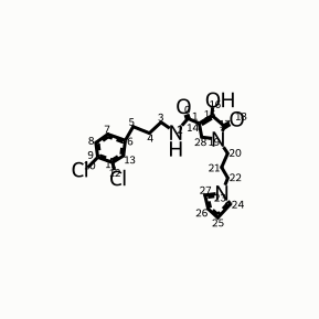 O=C(NCCCc1ccc(Cl)c(Cl)c1)C1=C(O)C(=O)N(CCCn2cccc2)C1